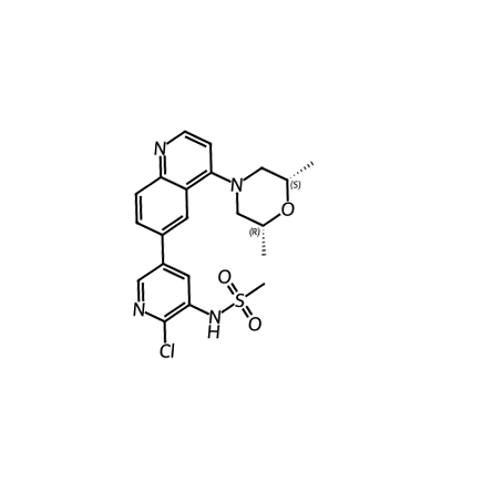 C[C@@H]1CN(c2ccnc3ccc(-c4cnc(Cl)c(NS(C)(=O)=O)c4)cc23)C[C@H](C)O1